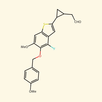 COc1ccc(COc2c(OC)cc3sc(C4CC4CC=O)cc3c2F)cc1